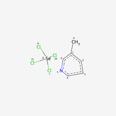 Cc1cccnc1.Cl[Se](Cl)(Cl)Cl